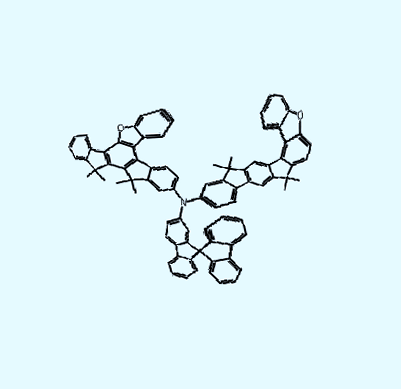 CC1(C)c2cc(N(c3ccc4c(c3)C(C)(C)c3c5c(c6oc7ccccc7c6c3-4)-c3ccccc3C5(C)C)c3ccc4c(c3)C3(c5ccccc5-c5ccccc53)c3ccccc3-4)ccc2-c2cc3c(cc21)-c1c(ccc2oc4ccccc4c12)C3(C)C